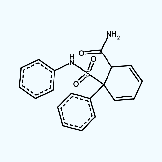 NC(=O)C1C=CC=CC1(c1ccccc1)S(=O)(=O)Nc1ccccc1